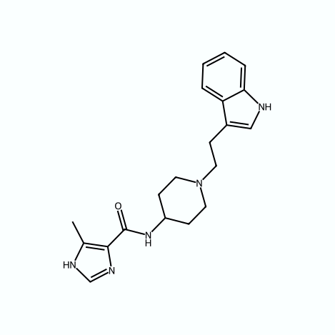 Cc1[nH]cnc1C(=O)NC1CCN(CCc2c[nH]c3ccccc23)CC1